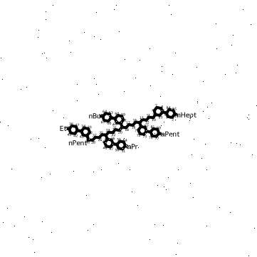 CCCCCCCC1CCC(C2CCCC(CCCCC(CCCCC(CCCCC(CCCCC(CCCCC)C3CCCC(C4CCC(CC)CC4)C3)C3CCCC(C4CCC(CCC)CC4)C3)C3CCCC(C4CCC(CCCC)CC4)C3)C3CCCC(C4CCC(CCCCC)CC4)C3)C2)CC1